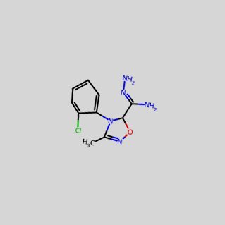 CC1=NOC(C(N)=NN)N1c1ccccc1Cl